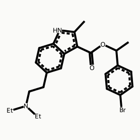 CCN(CC)CCc1ccc2[nH]c(C)c(C(=O)OC(C)c3ccc(Br)cc3)c2c1